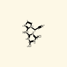 N#CCn1ccnc1Nc1nc(Cl)nc(Cl)n1